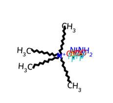 CCCCCCCCCCCC[N+](CCCCCCCCCCCC)(CCCCCCCCCCCC)CCCCCCCCCCCC.NS(=O)(=O)C(F)(F)F.NS(=O)(=O)C(F)(F)F